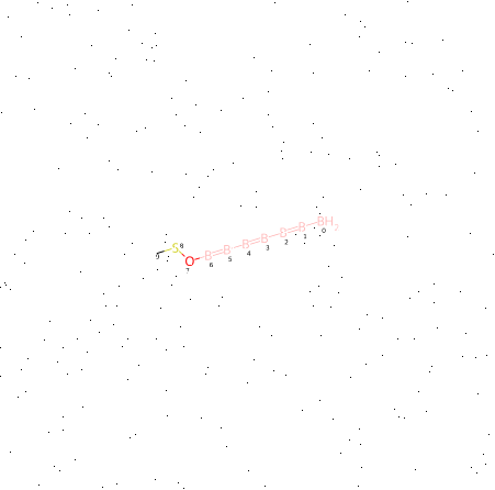 BB=BB=BB=BOSC